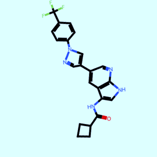 O=C(Nc1c[nH]c2ncc(-c3cnn(-c4ccc(C(F)(F)F)cc4)c3)cc12)C1CCC1